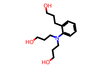 OCCCc1ccccc1N(CCCO)CCCO